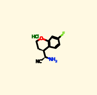 Cl.N#C[C@@H](N)[C@@H]1CCOc2cc(F)ccc21